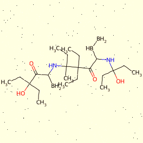 BBC(NC(O)(CC)CC)C(=O)C(CC)(CC)C(C)(CC)NC(B)C(=O)C(O)(CC)CC